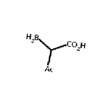 BC(C(C)=O)C(=O)O